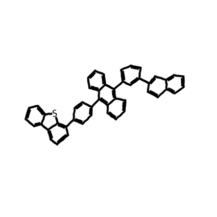 c1cc(-c2ccc3ccccc3c2)cc(-c2c3ccccc3c(-c3ccc(-c4cccc5c4sc4ccccc45)cc3)c3ccccc23)c1